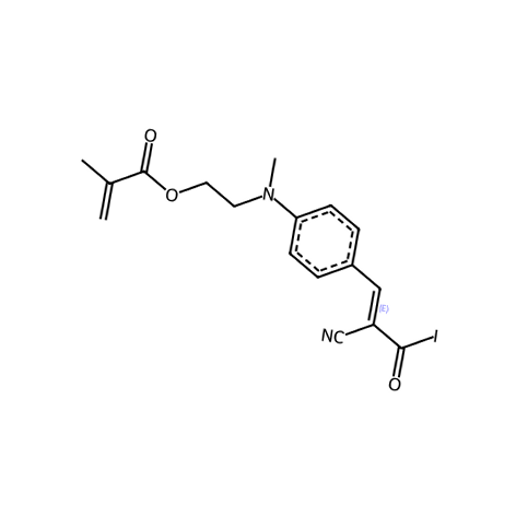 C=C(C)C(=O)OCCN(C)c1ccc(/C=C(\C#N)C(=O)I)cc1